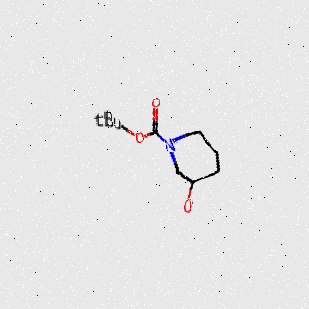 CC(C)(C)OC(=O)N1CCCC([O])C1